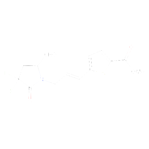 COC(=O)c1ccc(/C=C/CN2C(=O)C(F)(F)CC2C=O)s1